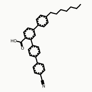 CCCCCCCc1ccc(-c2ccc(C(=O)O)c(-c3ccc(-c4ccc(C#N)cc4)cc3)c2)cc1